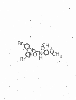 COc1ccc(NCC(O)Cn2c3ccc(Br)cc3c3cc(Br)ccc32)c(OC)c1